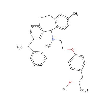 CCOC(Cc1ccc(OCCN(C)C2c3ccc(C)cc3CCc3ccc(C(C)c4ccccc4)cc32)cc1)C(=O)O